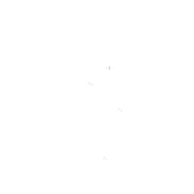 C1=CN(Cc2cccnc2)Cc2nc(-c3ccccc3)[nH]c21